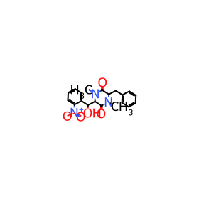 CN1C(=O)C(C(O)c2ccccc2[N+](=O)[O-])N(C)C(=O)C1Cc1ccccc1